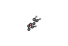 N#CC1=CCCc2c1c1cc(C#N)ccc1n2-c1cccc(-c2ccccc2-c2cc(C#N)ccc2-n2c3ccccc3c3ccccc32)c1